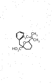 C[Si](C)(C)C1CCCC(Cc2ccccc2)(C(=O)O)O1